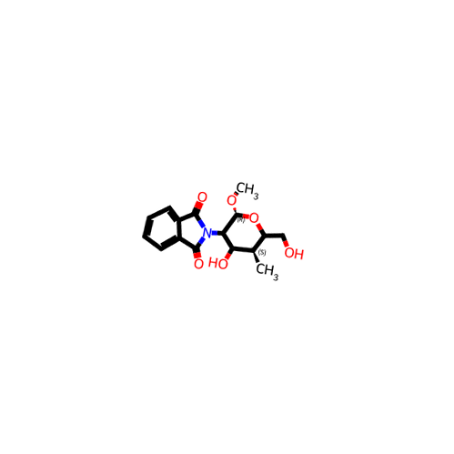 CO[C@@H]1OC(CO)[C@@H](C)C(O)C1N1C(=O)c2ccccc2C1=O